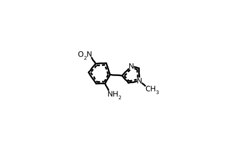 Cn1cnc(-c2cc([N+](=O)[O-])ccc2N)c1